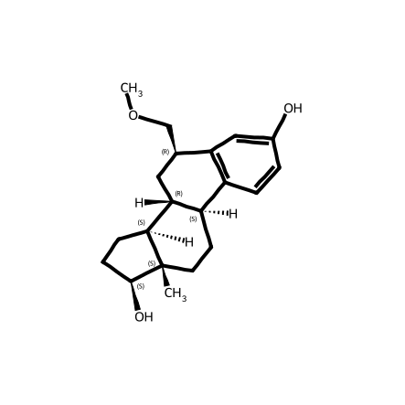 COC[C@@H]1C[C@@H]2[C@H](CC[C@]3(C)[C@@H](O)CC[C@@H]23)c2ccc(O)cc21